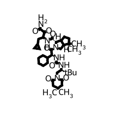 CC1(C)CC(=O)N(C[C@@H](NC(=O)N[C@H](C(=O)N2C[C@H]3[C@H](CCC3(C)C)[C@H]2C(=O)NC(CC2CC2)C(=O)C(N)=O)C2CCCCC2)C(C)(C)C)C(=O)C1